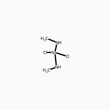 C[NH][Sn]([Cl])([Cl])[NH]C